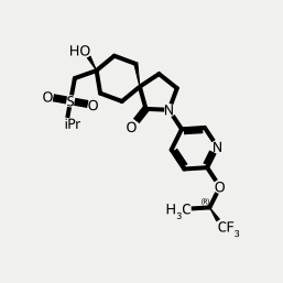 CC(C)S(=O)(=O)C[C@]1(O)CC[C@]2(CCN(c3ccc(O[C@H](C)C(F)(F)F)nc3)C2=O)CC1